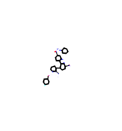 CN(C(=O)c1ccc2c(c1)[nH]c1c(C(N)=O)ccc(-c3cccc(NC(=O)c4ccc(F)cc4)c3CN)c12)c1ccccc1